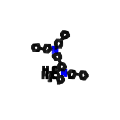 CC1(C)c2ccccc2N(c2ccc(-c3ccccc3)cc2)c2ccc(-c3ccc(N(c4ccc(-c5ccccc5)cc4)c4ccc(-c5ccccc5)cc4)cc3)cc21